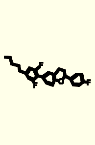 CCCCCc1cc(F)c(-c2ccc3c(c2)CCC(c2ccc(F)cc2)O3)c(F)c1